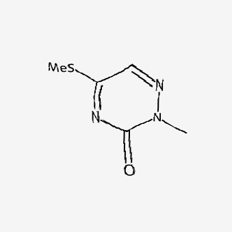 CSc1cnn(C)c(=O)n1